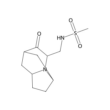 CS(=O)(=O)NCC1C(=O)C2CC3CCC(C2)N31